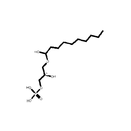 CCCCCCCCCC(O)OC[C@@H](O)COP(=O)(O)O